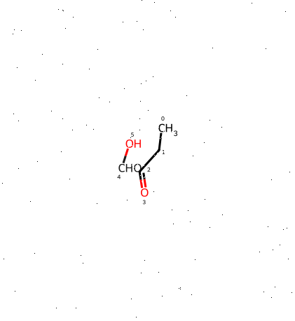 CCC=O.O=CO